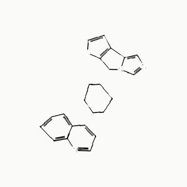 c1ccc2c(c1)nccc2[C@H]1CC[C@@H](C2c3sccc3-c3cncn32)CC1